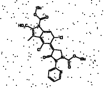 Cc1c(C(=O)O)n(C(=O)OC(C)(C)C)c2c1=C(Cl)C(=C1CN(C(=O)OC(C)(C)C)N(c3ccccn3)C1=O)C(Cl)C=2